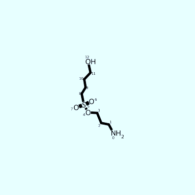 NCCCOS(=O)(=O)CCCCO